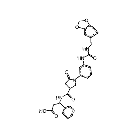 O=C(O)CC(NC(=O)C1CC(=O)N(c2cccc(NC(=O)NCc3ccc4c(c3)OCO4)c2)C1)c1cccnc1